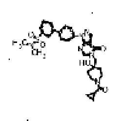 CN(C)S(=O)(=O)c1cccc(-c2ccc(-n3ncc4c(=O)n(CC5(O)CCN(C(=O)C6CC6)CC5)cnc43)cc2)c1